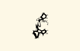 NC1(C(=O)OCC2c3ccccc3-c3ccccc32)CCCC1